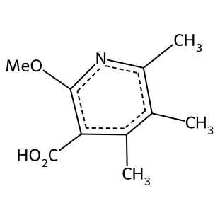 COc1nc(C)c(C)c(C)c1C(=O)O